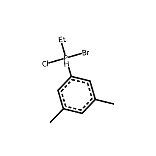 CC[PH](Cl)(Br)c1cc(C)cc(C)c1